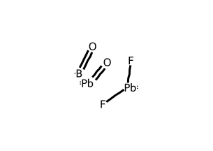 [B]=O.[F][Pb][F].[O]=[Pb]